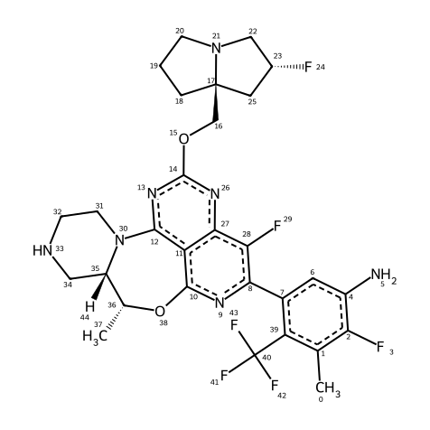 Cc1c(F)c(N)cc(-c2nc3c4c(nc(OC[C@@]56CCCN5C[C@H](F)C6)nc4c2F)N2CCNC[C@H]2[C@@H](C)O3)c1C(F)(F)F